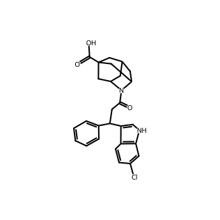 O=C(CC(c1ccccc1)c1c[nH]c2cc(Cl)ccc12)N1C2CC3CC1CC(C(=O)O)(C3)C2